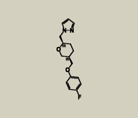 Fc1ccc(OC[C@@H]2CC[C@H](Cn3cccn3)OC2)cc1